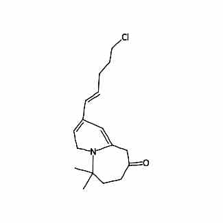 CC1(C)CCC(=O)CC2=CC(C=CCCCCl)=CCN21